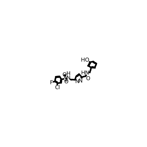 O=C(NCc1cccc(O)c1)c1ccc(CNS(=O)(=O)c2ccc(F)c(Cl)c2)nn1